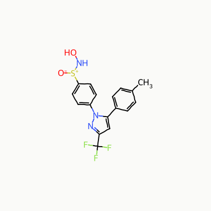 Cc1ccc(-c2cc(C(F)(F)F)nn2-c2ccc([S+]([O-])NO)cc2)cc1